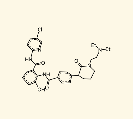 CCN(CC)CCN1CCCC(c2ccc(C(=O)Nc3c(O)cccc3C(=O)Nc3ccc(Cl)cn3)cc2)C1=O